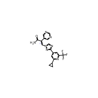 NC(=O)/C(=C/n1cnc(-c2cc(C3CC3)nc(C(F)(F)F)c2)n1)c1cncnc1